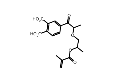 C=C(C)C(=O)OC(C)COC(C)C(=O)c1ccc(C(=O)O)c(C(=O)O)c1